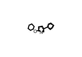 c1ccc(-c2ccc(OC3CCCCC3)nc2)cc1